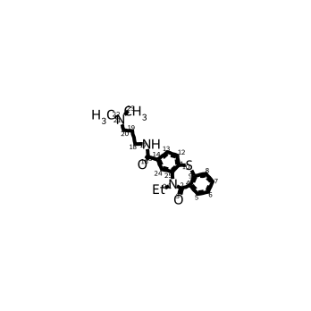 CCN1C(=O)c2ccccc2Sc2ccc(C(=O)NCCCN(C)C)cc21